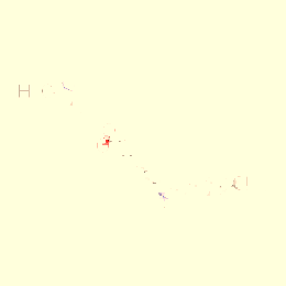 CC/C=C\CCCCCOC(=O)CCCCCCC/C=C\CCCCCCCC